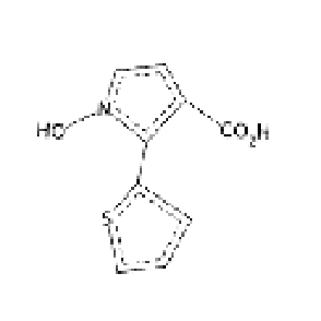 O=C(O)c1ccn(O)c1-c1cccs1